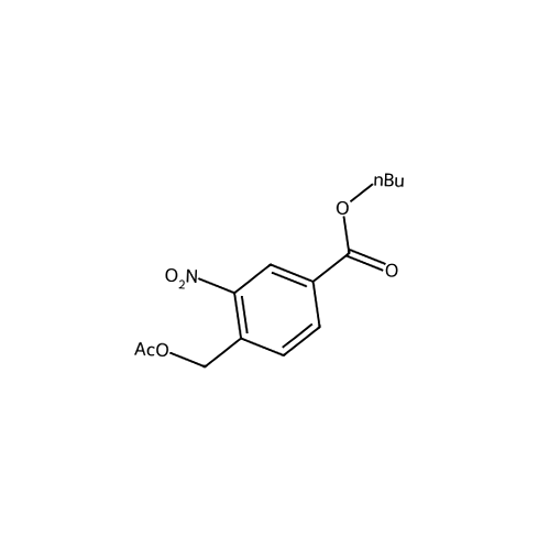 CCCCOC(=O)c1ccc(COC(C)=O)c([N+](=O)[O-])c1